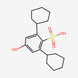 O=S(=O)(O)c1c(C2CCCCC2)cc(O)cc1C1CCCCC1